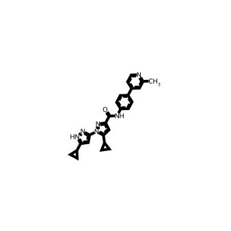 Cc1cc(-c2ccc(NC(=O)c3cc(C4CC4)n(-c4cc(C5CC5)[nH]n4)n3)cc2)ccn1